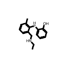 CCNCc1cccc(C)c1Pc1ccccc1O